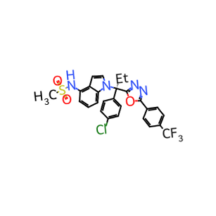 CC[C@@](c1ccc(Cl)cc1)(c1nnc(-c2ccc(C(F)(F)F)cc2)o1)n1ccc2c(NS(C)(=O)=O)cccc21